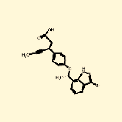 CC#CC(CC(=O)O)c1ccc(O[C@@H](C)c2cccc3c(Br)n[nH]c23)cc1